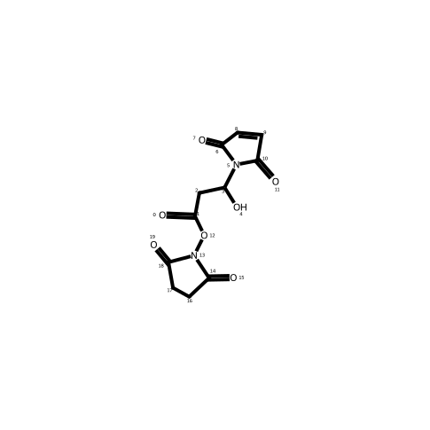 O=C(CC(O)N1C(=O)C=CC1=O)ON1C(=O)CCC1=O